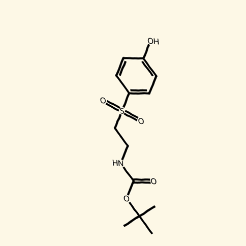 CC(C)(C)OC(=O)NCCS(=O)(=O)c1ccc(O)cc1